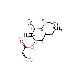 C=CC(=O)OC(CCCC)[SiH2]C(C)COC